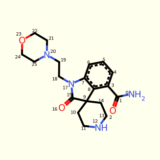 NC(=O)c1cccc2c1C1(CCNCC1)C(=O)N2CCN1CCOCC1